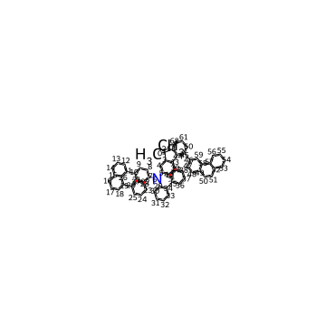 CC1(C)c2cc(N(c3ccc(-c4cccc5cccc(-c6ccccc6)c45)cc3)c3ccccc3-c3ccccc3)ccc2-c2c(-c3ccc4ccc5ccccc5c4c3)cccc21